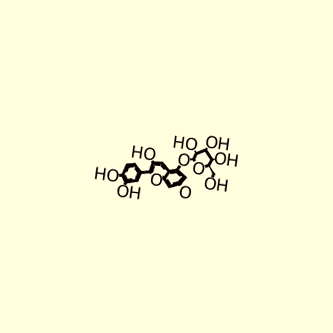 O=c1cc2oc(-c3ccc(O)c(O)c3)c(O)cc-2c(O[C@@H]2O[C@H](CO)[C@@H](O)[C@H](O)[C@H]2O)c1